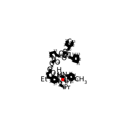 CC[C@@H](CC(=O)OCOC(=O)N1CCCC1COP(=O)(OCc1ccccc1)OCc1ccccc1)c1ccc(N(CC(C)C)CC(C)C)c(NC(=O)Nc2ccc(C)cc2)c1